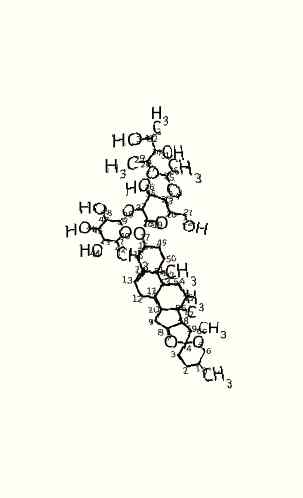 CC1CCC2(OC1)OC1CC3C4CC=C5C[C@@H](O[C@@H]6OC(CO)[C@@H](OC(C)OC(C)[C@H](O)C(C)O)C(O)C6O[C@@H]6OC(C)[C@H](O)C(O)C6O)CC[C@]5(C)C4CC[C@]3(C)C1[C@@H]2C